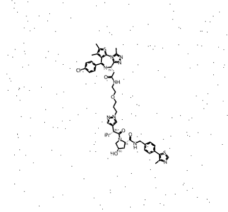 Cc1ncsc1-c1ccc(CNC(=O)[C@@H]2C[C@@H](O)CN2C(=O)[C@@H](c2cnn(CCCOCCNC(=O)C[C@@H]3N=C(c4ccc(Cl)cc4)c4c(sc(C)c4C)-n4c(C)nnc43)c2)C(C)C)cc1